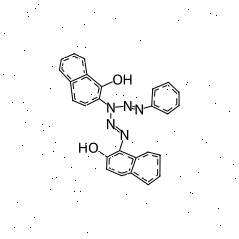 Oc1ccc2ccccc2c1N=NN(N=Nc1ccccc1)c1ccc2ccccc2c1O